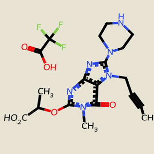 CC#CCn1c(N2CCNCC2)nc2nc(OC(C)C(=O)O)n(C)c(=O)c21.O=C(O)C(F)(F)F